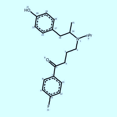 CCCN(CCCC(=O)c1ccc(F)cc1)C(C)Cc1ccc(O)cc1